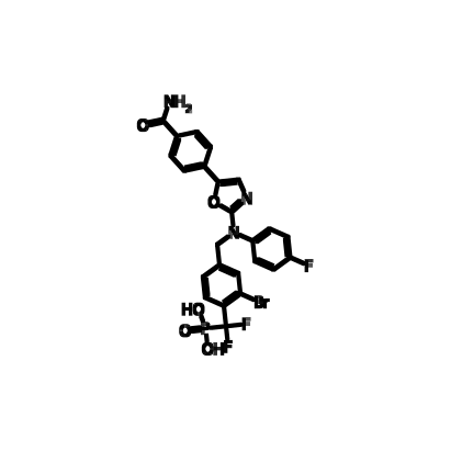 NC(=O)c1ccc(-c2cnc(N(Cc3ccc(C(F)(F)P(=O)(O)O)c(Br)c3)c3ccc(F)cc3)o2)cc1